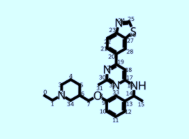 CCN1CCCC(COc2cccc(C(C)Nc3cc(-c4ccc5ncsc5c4)nc(C)n3)c2)C1